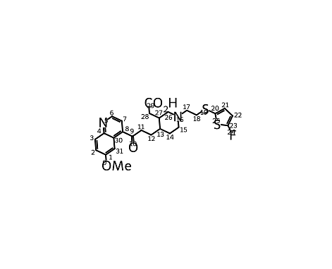 COc1ccc2nccc(C(=O)CCC3CCN(CCSc4ccc(F)s4)CC3CC(=O)O)c2c1